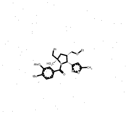 CCOC[C@H]1C[C@@](CC(C)C)(C(=O)O)N(C(=O)c2ccc(C(C)(C)C)c(OC)c2)[C@H]1c1cc(C)on1